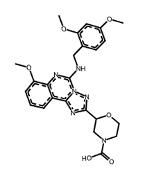 COc1ccc(CNc2nc3c(OC)cccc3c3nc(C4CN(C(=O)O)CCO4)nn23)c(OC)c1